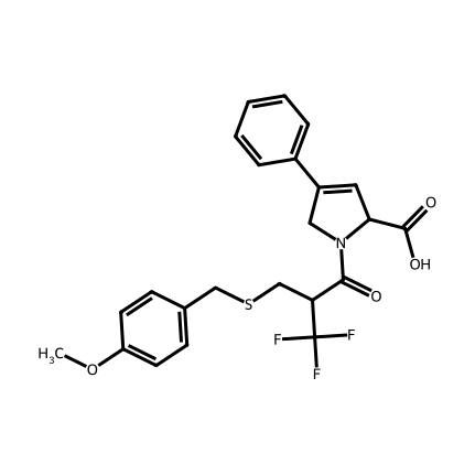 COc1ccc(CSCC(C(=O)N2CC(c3ccccc3)=CC2C(=O)O)C(F)(F)F)cc1